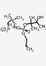 C=CCOP(=O)(O)OC(C)(C)C(C)O.C[N+](C)(C)CC(=O)O